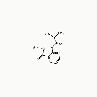 C[C@H](N)C(=O)Oc1ncccc1C(=O)OC(C)(C)C